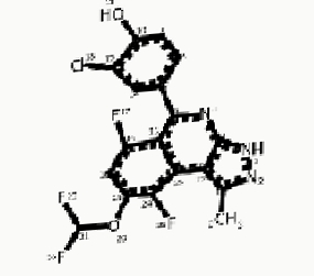 Cc1n[nH]c2nc(-c3ccc(O)c(Cl)c3)c3c(F)cc(OC(F)F)c(F)c3c12